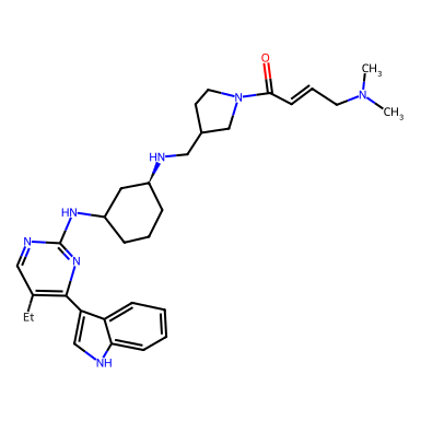 CCc1cnc(NC2CCC[C@H](NCC3CCN(C(=O)/C=C/CN(C)C)C3)C2)nc1-c1c[nH]c2ccccc12